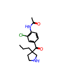 CCCC1(C(=O)c2ccc(NC(C)=O)c(Cl)c2)CCNC1